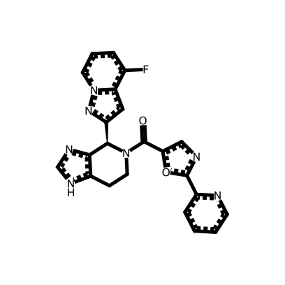 O=C(c1cnc(-c2ccccn2)o1)N1CCc2[nH]cnc2[C@H]1c1cc2c(F)cccn2n1